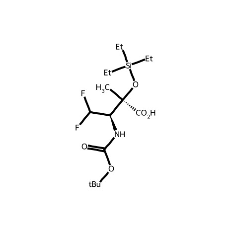 CC[Si](CC)(CC)O[C@@](C)(C(=O)O)[C@@H](NC(=O)OC(C)(C)C)C(F)F